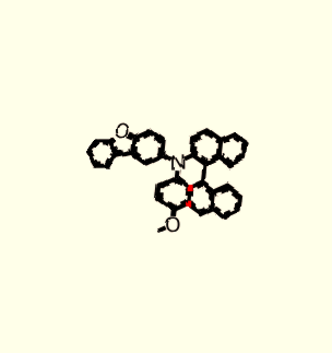 COc1ccc(N(c2ccc3oc4ccccc4c3c2)c2ccc3ccccc3c2-c2cccc3ccccc23)cc1